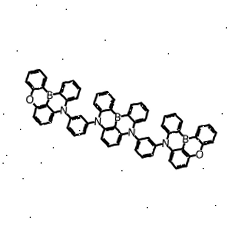 c1cc(N2c3ccccc3B3c4ccccc4Oc4cccc2c43)cc(N2c3ccccc3B3c4ccccc4N(c4cccc(N5c6ccccc6B6c7ccccc7Oc7cccc5c76)c4)c4cccc2c43)c1